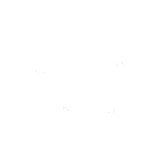 COCCCCOc1ccccc1C(=O)NC[C@@H](C[C@H](N)[C@@H](O)CNC(=O)C(C)(C)C1CCCCC1)C(C)C